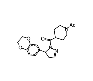 CC(=O)N1CCC(C(=O)N2N=CCC2c2ccc3c(c2)OCCO3)CC1